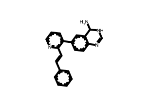 NC1NC=Nc2ccc(-c3cccnc3/C=C/c3ccccc3)cc21